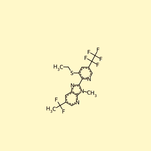 CCSc1cc(C(F)(F)C(F)(F)F)cnc1-c1nc2cc(C(C)(F)F)cnc2n1C